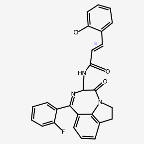 O=C(/C=C/c1ccccc1Cl)NC1N=C(c2ccccc2F)c2cccc3c2N(CC3)C1=O